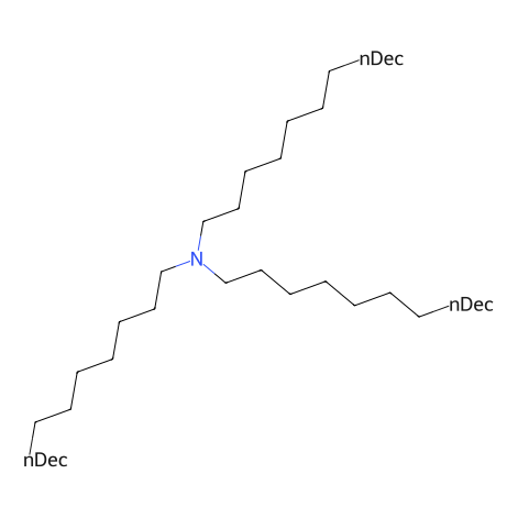 CCCCCCCCCCCCCCCCCN(CCCCCCCCCCCCCCCCC)CCCCCCCCCCCCCCCCC